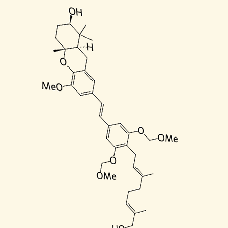 COCOc1cc(/C=C/c2cc3c(c(OC)c2)O[C@]2(C)CC[C@@H](O)C(C)(C)[C@H]2C3)cc(OCOC)c1C/C=C(\C)CC/C=C(\C)CO